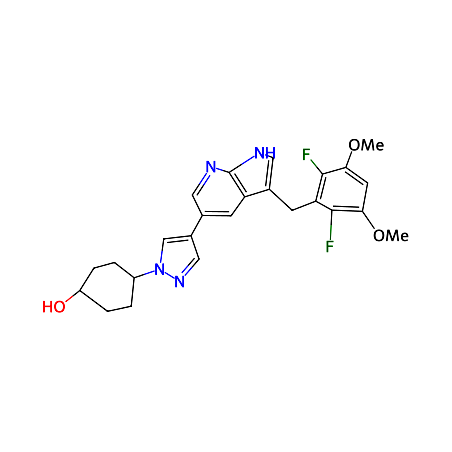 COc1cc(OC)c(F)c(Cc2c[nH]c3ncc(-c4cnn(C5CCC(O)CC5)c4)cc23)c1F